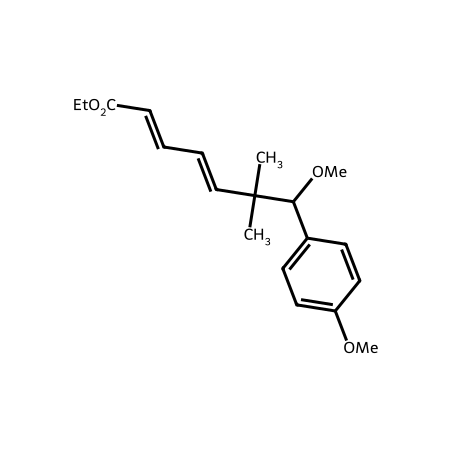 CCOC(=O)/C=C/C=C/C(C)(C)C(OC)c1ccc(OC)cc1